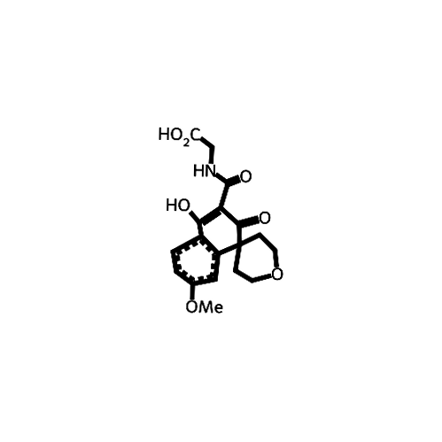 COc1ccc2c(c1)C1(CCOCC1)C(=O)C(C(=O)NCC(=O)O)=C2O